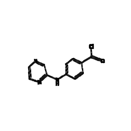 O=C(Cl)c1ccc(Nc2cnccn2)cc1